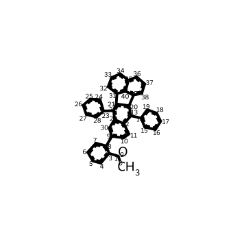 CC(=O)c1ccccc1-c1ccc2c(-c3ccccc3)c3c(c(-c4ccccc4)c2c1)-c1cccc2cccc-3c12